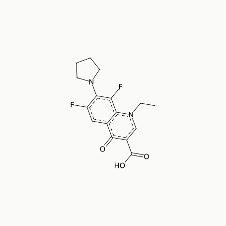 CCn1cc(C(=O)O)c(=O)c2cc(F)c(N3CCCC3)c(F)c21